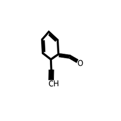 C#CC1C=CC=CC1=C=O